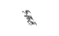 CC1(C)c2cc(-c3ccc([Si](C)(C)C)cc3)c3ccccc3c2-c2ccc3c(c21)C(C)(C)c1cc(-c2ccc([Si](C)(C)C)cc2)c2ccccc2c1-3